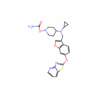 NC(=O)ON1CCC(N(Cc2coc3cc(Oc4nc5ncccc5s4)ccc23)C2CC2)CC1